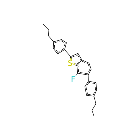 CCCc1ccc(-c2cc3ccc(-c4ccc(CCC)cc4)c(F)c3s2)cc1